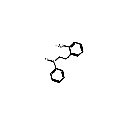 CCN(CCc1ccccc1S(=O)(=O)O)c1ccccc1